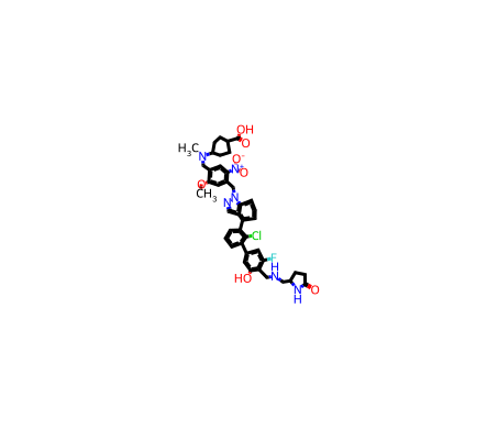 COc1cc(Cn2ncc3c(-c4cccc(-c5cc(O)c(CNCC6CCC(=O)N6)c(F)c5)c4Cl)cccc32)c([N+](=O)[O-])cc1CN(C)C1CCC(C(=O)O)CC1